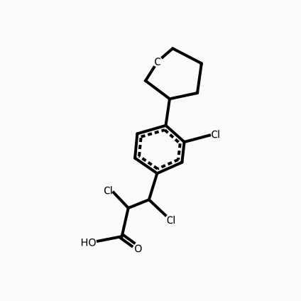 O=C(O)C(Cl)C(Cl)c1ccc(C2CCCCC2)c(Cl)c1